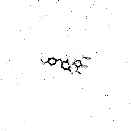 COc1ccc(Cn2ccc(=O)n([C@@H]3O[C@H](CO)[C@@H](O)[C@H]3OC)c2=O)cc1